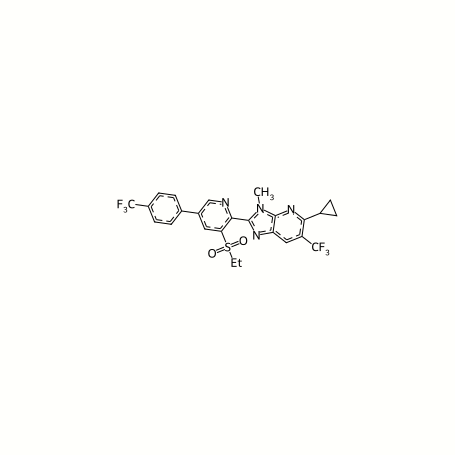 CCS(=O)(=O)c1cc(-c2ccc(C(F)(F)F)cc2)cnc1-c1nc2cc(C(F)(F)F)c(C3CC3)nc2n1C